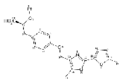 CCO[C@@H](Cc1ccc(OCc2nc(-c3ccc(C)o3)oc2C)cc1)C(=O)O